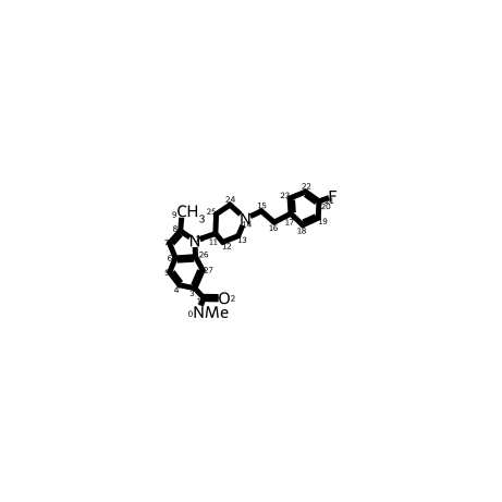 CNC(=O)c1ccc2cc(C)n(C3CCN(CCc4ccc(F)cc4)CC3)c2c1